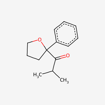 CC(C)C(=O)C1(c2ccccc2)CCCO1